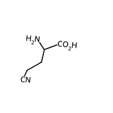 N#CCCC(N)C(=O)O